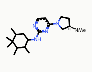 CN[C@@H]1CCN(c2ccnc(NC3CC(C)C(C)(C)C(C)C3C)n2)C1